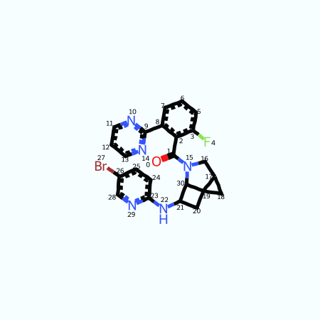 O=C(c1c(F)cccc1-c1ncccn1)N1CC2CC23CC(Nc2ccc(Br)cn2)C13